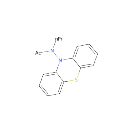 CCCN(C(C)=O)N1c2ccccc2Sc2ccccc21